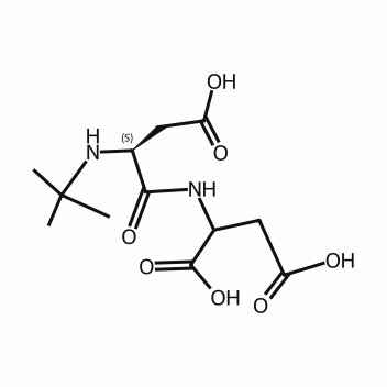 CC(C)(C)N[C@@H](CC(=O)O)C(=O)NC(CC(=O)O)C(=O)O